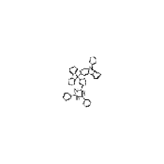 c1ccc(-c2nc(-c3ccccc3)nc(-c3cccc(C4(c5ccc6c(c5)c5ccccc5n6-c5ccccc5)c5ccccc5-c5ccccc54)c3)n2)cc1